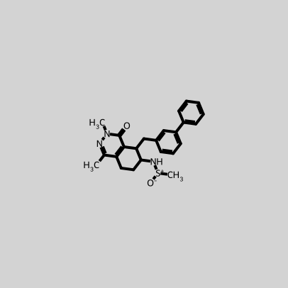 Cc1nn(C)c(=O)c2c1CCC(N[S+](C)[O-])C2Cc1cccc(-c2ccccc2)c1